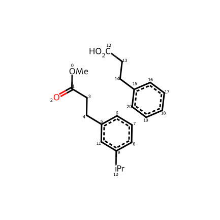 COC(=O)CCc1cccc(C(C)C)c1.O=C(O)CCc1ccccc1